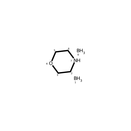 B.B.C1COCCN1